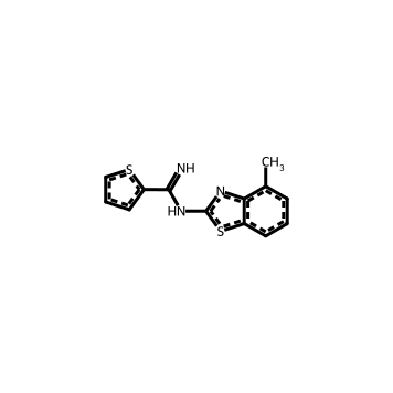 Cc1cccc2sc(NC(=N)c3cccs3)nc12